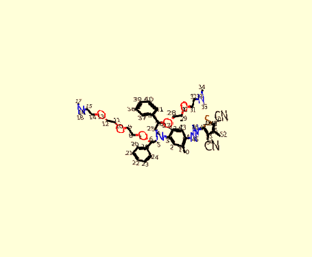 Cc1cc(N(CC(OCCOCCOCCN(C)C)c2ccccc2)CC(OCCOCCN(C)C)c2ccccc2)ccc1/N=N/c1sc(C#N)c(C)c1C#N